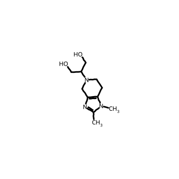 Cc1nc2c(n1C)CCN(C(CO)CO)C2